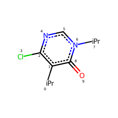 CC(C)c1c(Cl)ncn(C(C)C)c1=O